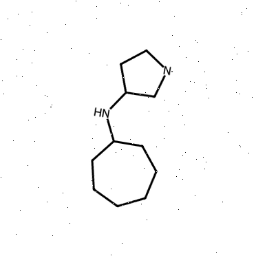 C1CCCC(NC2CC[N]C2)CC1